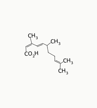 CC(C)=CCCC(C)C=CC(C)=CC(=O)O